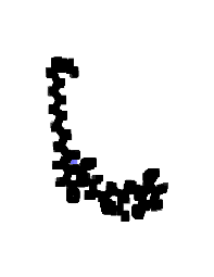 CCCCCCCCCC/C=C/C1CC(=O)N(CCC(C)CCCN2C(=O)C=CC2=O)C1=O